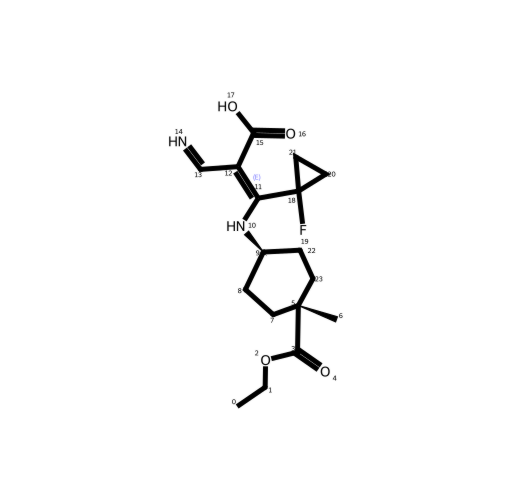 CCOC(=O)[C@]1(C)CC[C@@H](N/C(=C(\C=N)C(=O)O)C2(F)CC2)CC1